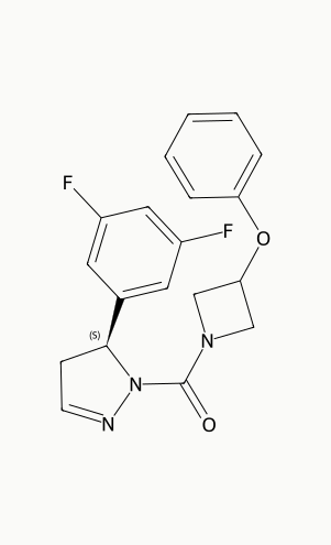 O=C(N1CC(Oc2ccccc2)C1)N1N=CC[C@H]1c1cc(F)cc(F)c1